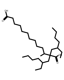 CCCCC(CC)CC(CC(CC)CCCC)(C(=O)O)C(C)CCCCCCCCCC(=O)O